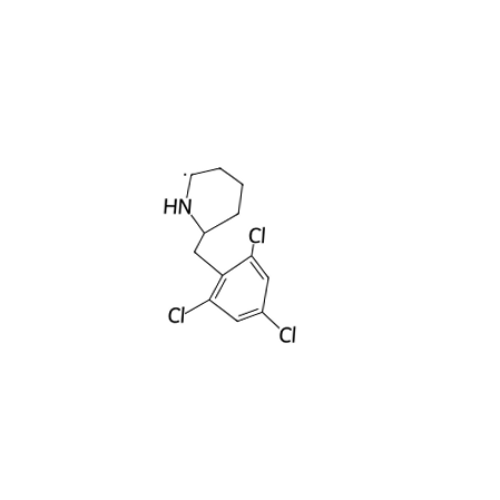 Clc1cc(Cl)c(CC2CCC[CH]N2)c(Cl)c1